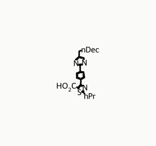 CCCCCCCCCCCc1cnc(-c2ccc(-c3nc(CCC)sc3C(=O)O)cc2)nc1